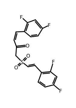 O=C(/C=C\c1ccc(F)cc1F)CS(=O)(=O)C=Cc1ccc(F)cc1F